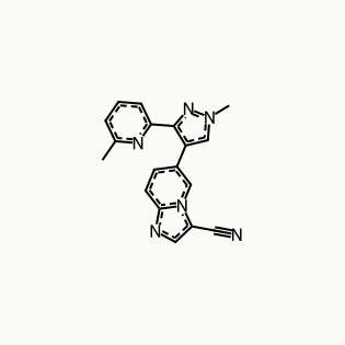 Cc1cccc(-c2nn(C)cc2-c2ccc3ncc(C#N)n3c2)n1